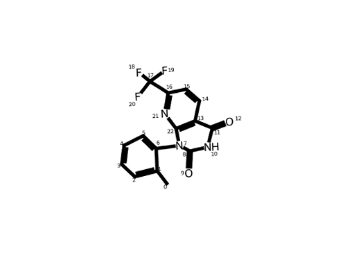 Cc1ccccc1-n1c(=O)[nH]c(=O)c2ccc(C(F)(F)F)nc21